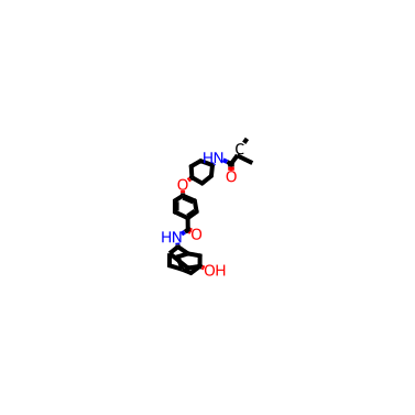 CCC(C)C(=O)NC1CCC(Oc2ccc(C(=O)NC3C4CC5CC3CC(O)(C5)C4)cc2)CC1